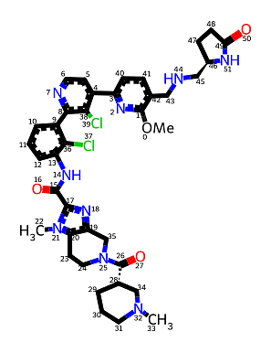 COc1nc(-c2ccnc(-c3cccc(NC(=O)c4nc5c(n4C)CCN(C(=O)[C@H]4CCCN(C)C4)C5)c3Cl)c2Cl)ccc1CNC[C@H]1CCC(=O)N1